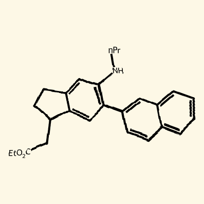 CCCNc1cc2c(cc1-c1ccc3ccccc3c1)C(CC(=O)OCC)CC2